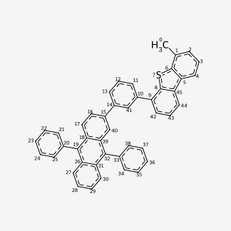 Cc1cccc2c1sc1c(-c3cccc(-c4ccc5c(-c6ccccc6)c6ccccc6c(-c6ccccc6)c5c4)c3)cccc12